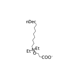 CCCCCCCCCCCCCCCCCC[N+](CC)(CC)OCCC(=O)[O-]